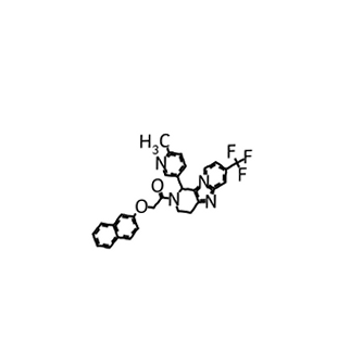 Cc1ccc(C2c3c(nc4cc(C(F)(F)F)ccn34)CCN2C(=O)COc2ccc3ccccc3c2)cn1